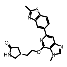 Cc1nc2cc(-c3cc4ncn(C)c4c(OCC[C@H]4CNC(=O)C4)n3)ccc2s1